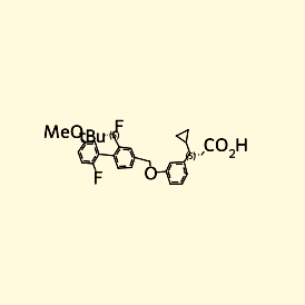 COc1ccc(F)c(-c2ccc(COc3cccc([C@@H](CC(=O)O)C4CC4)c3)cc2[C@@H](F)C(C)(C)C)c1